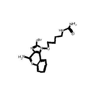 CCCCc1nc2c(N)nc3ccccc3c2n1OCCCCNC(N)=O